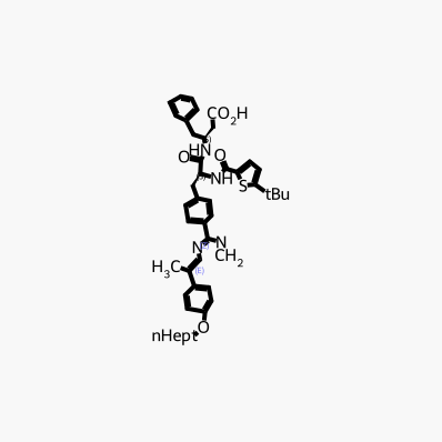 C=N/C(=N\C=C(/C)c1ccc(OCCCCCCC)cc1)c1ccc(C[C@H](NC(=O)c2ccc(C(C)(C)C)s2)C(=O)N[C@H](CC(=O)O)Cc2ccccc2)cc1